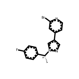 C[C@H](c1ccc(F)cc1)n1cc(-c2ccnc(Br)c2)cn1